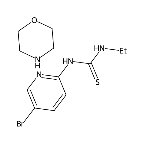 C1COCCN1.CCNC(=S)Nc1ccc(Br)cn1